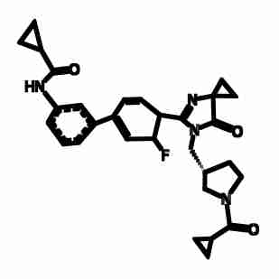 O=C(Nc1cccc(C2=CC(F)C(C3=NC4(CC4)C(=O)N3C[C@@H]3CCN(C(=O)C4CC4)C3)C=C2)c1)C1CC1